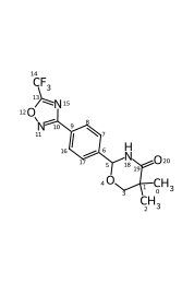 CC1(C)COC(c2ccc(-c3noc(C(F)(F)F)n3)cc2)NC1=O